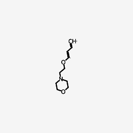 [CH]=C/C=[C]/OCCN1CCOCC1